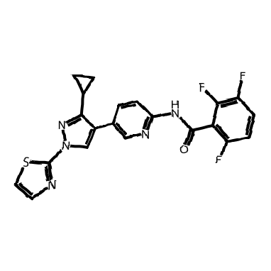 O=C(Nc1ccc(-c2cn(-c3nccs3)nc2C2CC2)cn1)c1c(F)ccc(F)c1F